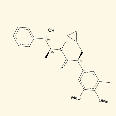 COc1cc([C@H](CC2CC2)C(=O)N(C)[C@@H](C)[C@@H](O)c2ccccc2)cc(C)c1OC